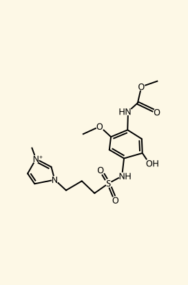 COC(=O)Nc1cc(O)c(NS(=O)(=O)CCCn2cc[n+](C)c2)cc1OC